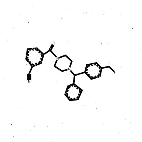 N#Cc1cccc(C(=O)N2CCN(C(c3ccccc3)c3ccc(CF)cc3)CC2)c1